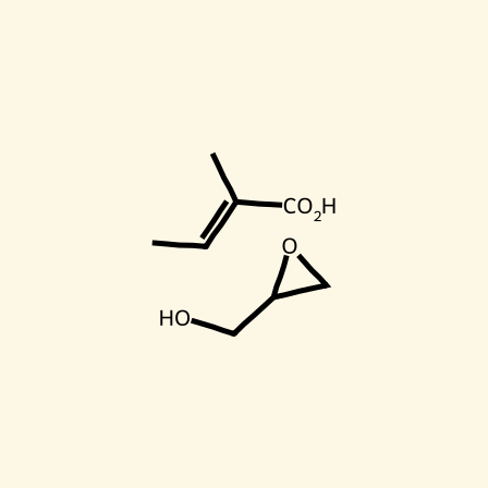 CC=C(C)C(=O)O.OCC1CO1